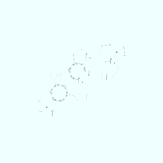 CCN1C[C@H](N2CCc3cc(-c4c(C)cc(C(F)(F)F)cc4O)nnc32)CCC12CC2